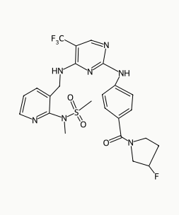 CN(c1ncccc1CNc1nc(Nc2ccc(C(=O)N3CCC(F)C3)cc2)ncc1C(F)(F)F)S(C)(=O)=O